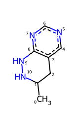 CC1Cc2cncnc2NN1